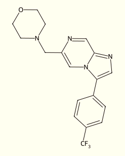 FC(F)(F)c1ccc(-c2cnc3cnc(CN4CCOCC4)cn23)cc1